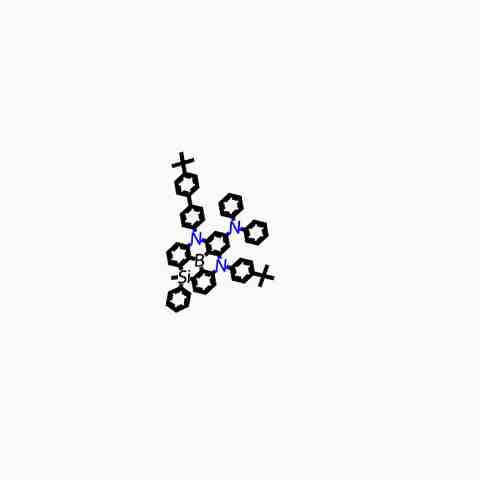 CC(C)(C)c1ccc(-c2ccc(N3c4cc(N(c5ccccc5)c5ccccc5)cc5c4B4c6c3cccc6[Si](C)(c3ccccc3)c3cccc(c34)N5c3ccc(C(C)(C)C)cc3)cc2)cc1